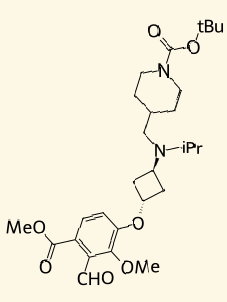 COC(=O)c1ccc(O[C@H]2C[C@H](N(CC3CCN(C(=O)OC(C)(C)C)CC3)C(C)C)C2)c(OC)c1C=O